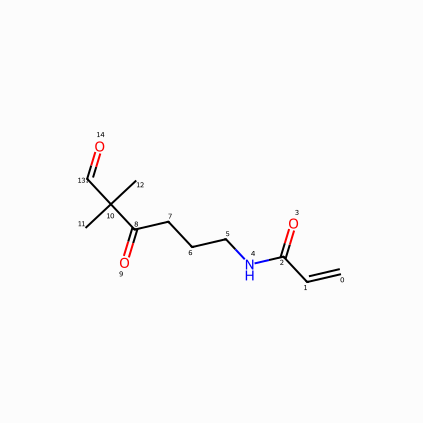 C=CC(=O)NCCCC(=O)C(C)(C)[C]=O